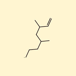 [CH2]CCC(C)CC(C)C=C